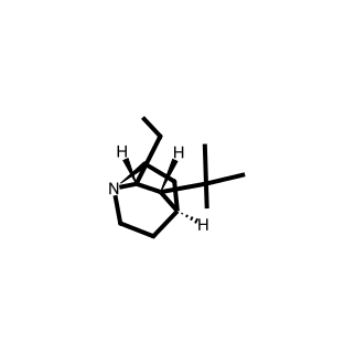 CC[C@@H]1[C@H](C(C)(C)C)[C@H]2CC[N@]1CC2